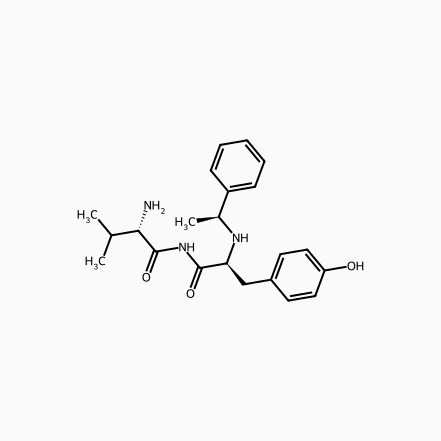 CC(C)[C@H](N)C(=O)NC(=O)[C@H](Cc1ccc(O)cc1)N[C@@H](C)c1ccccc1